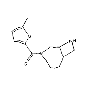 Cc1ccc(C(=O)N2CCC3CNC3C2)o1